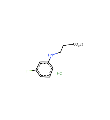 CCOC(=O)CCNc1cccc(F)c1.Cl